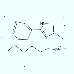 CCCCCCCC.Cc1c[nH]c(-c2ccccc2)n1